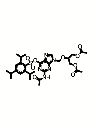 CC(=O)Nc1nc(OS(=O)(=O)c2c(C(C)C)cc(C(C)C)cc2C(C)C)c2ncn(COC(COC(C)=O)COC(C)=O)c2n1